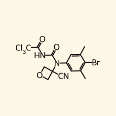 Cc1cc(N(C(=O)NC(=O)C(Cl)(Cl)Cl)C2(C#N)COC2)cc(C)c1Br